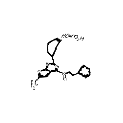 FC(F)(F)c1cc2c(NCCc3ccccc3)nc(C3CCCCC3)nc2s1.O=C(O)O